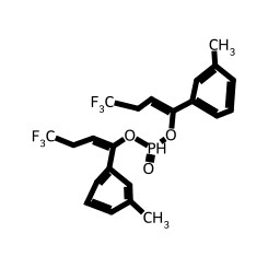 Cc1cccc(C(=CCC(F)(F)F)O[PH](=O)OC(=CCC(F)(F)F)c2cccc(C)c2)c1